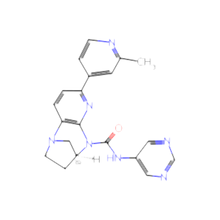 Cc1cc(-c2ccc3c(n2)N(C(=O)Nc2cncnc2)[C@H]2CCN3C2)ccn1